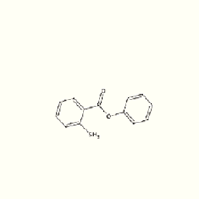 O=C(Oc1ccccc1)c1ccccc1[SiH3]